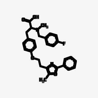 Cc1oc(-c2ccccc2)nc1CCOc1ccc(CC(C(=O)O)N(C)Cc2ccc(F)cc2)cc1